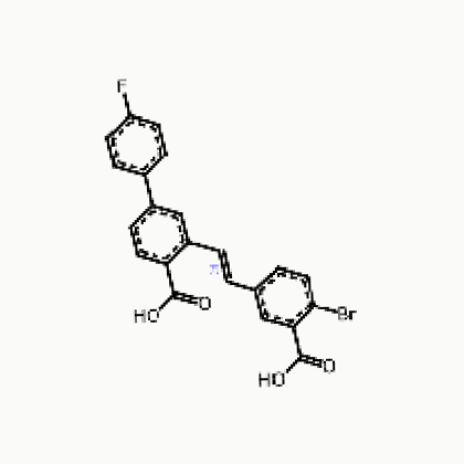 O=C(O)c1cc(/C=C/c2cc(-c3ccc(F)cc3)ccc2C(=O)O)ccc1Br